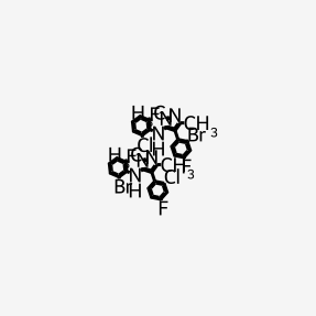 Cc1nn(C)c(Nc2c(F)cccc2Br)c1-c1ccc(F)cc1Cl.Cc1nn(C)c(Nc2c(F)cccc2Cl)c1-c1ccc(F)cc1Br